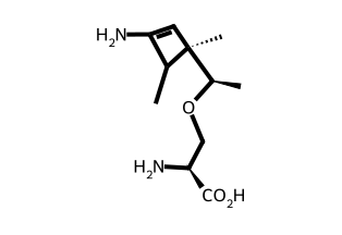 CC1C(N)=C[C@@]1(C)[C@@H](C)OC[C@H](N)C(=O)O